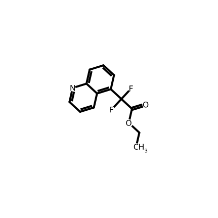 CCOC(=O)C(F)(F)c1cccc2ncccc12